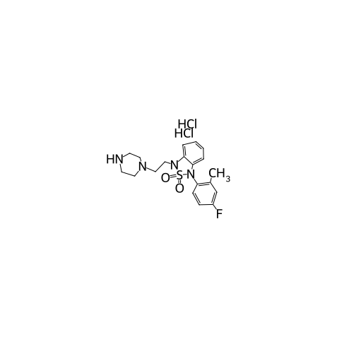 Cc1cc(F)ccc1N1c2ccccc2N(CCN2CCNCC2)S1(=O)=O.Cl.Cl